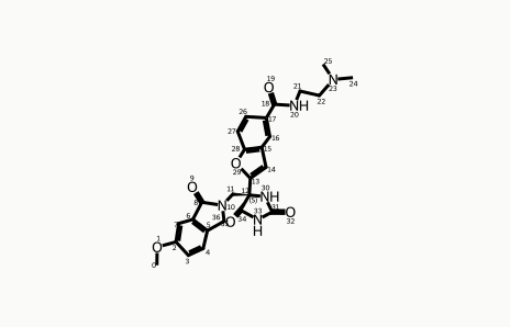 COc1ccc2c(c1)C(=O)N(C[C@@]1(c3cc4cc(C(=O)NCCN(C)C)ccc4o3)NC(=O)NC1=O)C2